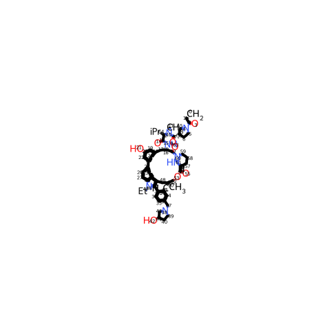 C=CC(=O)N1CC[C@H](C(=O)N(C)C(C(=O)N[C@H]2Cc3cc(O)cc(c3)-c3ccc4c(c3)c(c(-c3ccc(CN5CC[C@@H](O)C5)cc3)n4CC)CC(C)(C)COC(=O)[C@@H]3CCCN(N3)C2=O)C(C)C)C1